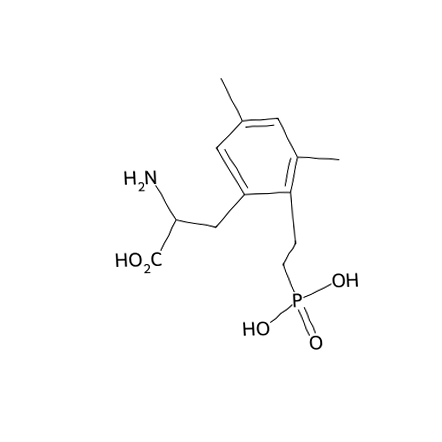 Cc1cc(C)c(CCP(=O)(O)O)c(CC(N)C(=O)O)c1